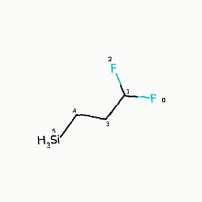 FC(F)CC[SiH3]